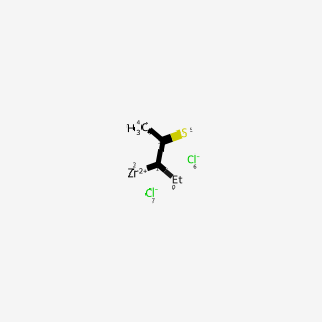 CC[CH]([Zr+2])C(C)=S.[Cl-].[Cl-]